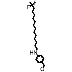 CC(F)(F)CCCCCCCCCCCCCNc1ccc(C=O)cc1